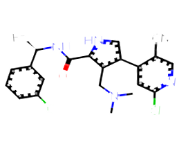 CC[C@@H](NC(=O)c1[nH]cc(-c2cc(Cl)ncc2C#N)c1CN(C)C)c1cccc(Cl)c1